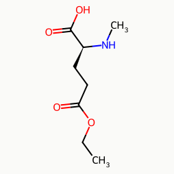 CCOC(=O)CC[C@H](NC)C(=O)O